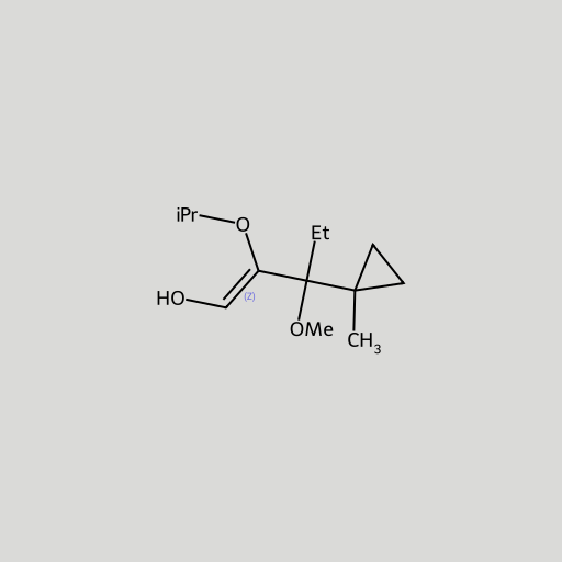 CCC(OC)(/C(=C/O)OC(C)C)C1(C)CC1